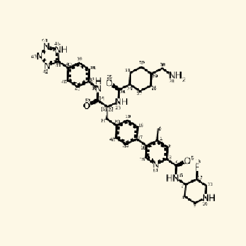 Cc1cc(C(=O)NC2CCNCC2F)ncc1-c1ccc(C[C@H](NC(=O)C2CCC(CN)CC2)C(=O)Nc2ccc(-c3nnn[nH]3)cc2)cc1